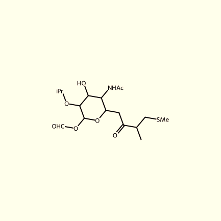 CSCC(C)C(=O)CC1OC(OC=O)C(OC(C)C)C(O)C1NC(C)=O